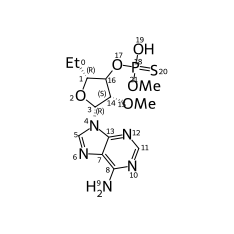 CC[C@H]1O[C@@H](n2cnc3c(N)ncnc32)[C@@H](OC)C1OP(O)(=S)OC